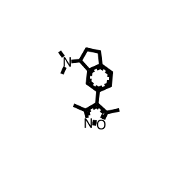 Cc1noc(C)c1-c1ccc2c(c1)C(N(C)C)CC2